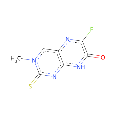 Cn1cc2nc(F)c(=O)[nH]c2nc1=S